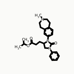 CC(C)OC(=O)CCC1CN(c2ccccc2)C(=O)N1c1ccc2c(c1)CCN(C)CC2